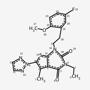 CCn1c(=O)c2c(C)c(-n3nccn3)sc2n(CCc2cc(F)ccc2OC)c1=O